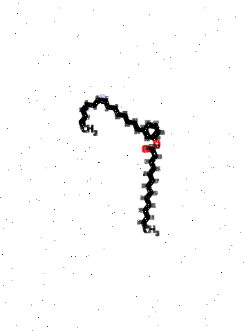 C=CC/C=C\C/C=C\CCCCCCCc1cccc(OC(=O)CCCCCCCCCCCCC)c1